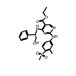 CCOC(=O)c1cnc(Nc2ccc(S(C)(=O)=O)c(C)c2)nc1N[C@@H](CO)c1ccccc1